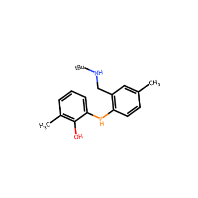 Cc1ccc(Pc2cccc(C)c2O)c(CNC(C)(C)C)c1